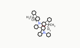 CC1(C)c2ccccc2-c2cc(N(c3ccc4c(c3)C(C)(C)c3ccccc3-4)c3ccccc3-c3cccc4c3c3ccccc3n4-c3ccccc3)ccc21